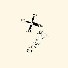 O=P([O-])([O-])[O-].[Co].[Co].[Co].[Li+].[Li+].[Li+]